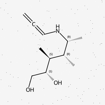 C=C=CN[C@H](C)[C@H](C)[C@H](C)[C@H](O)CO